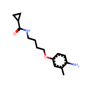 Cc1cc(OCCCCNC(=O)C2CC2)ccc1N